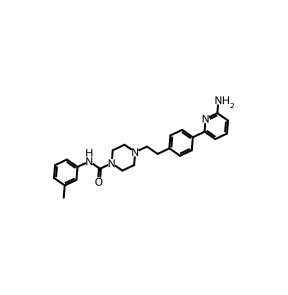 Cc1cccc(NC(=O)N2CCN(CCc3ccc(-c4cccc(N)n4)cc3)CC2)c1